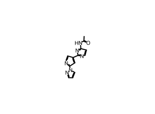 CC(=O)Nc1ccnc(-c2ccnc(-n3cccn3)c2)n1